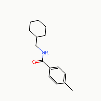 Cc1ccc(C(=O)NCC2CCCCC2)cc1